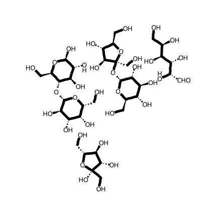 O=C[C@H](O)[C@@H](O)[C@@H](O)[C@H](O)CO.OC[C@H]1O[C@@H](O[C@H]2[C@H](O)[C@@H](O)[C@H](O)O[C@@H]2CO)[C@H](O)[C@@H](O)[C@H]1O.OC[C@H]1O[C@@](CO)(O[C@H]2O[C@H](CO)[C@@H](O)[C@H](O)[C@H]2O)[C@@H](O)[C@@H]1O.OC[C@H]1O[C@](O)(CO)[C@@H](O)[C@@H]1O